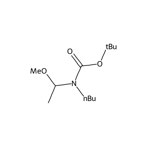 CCCCN(C(=O)OC(C)(C)C)C(C)OC